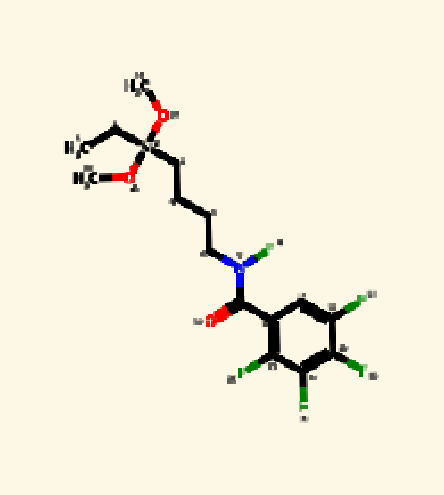 CC[Si](CCCCN(F)C(=O)c1cc(F)c(F)c(F)c1F)(OC)OC